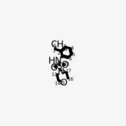 CCc1ccccc1NS(=O)(=O)N1CCOCC1